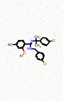 CCOc1cc(C#N)ccc1/C(=N/C(C)(C)C1C=CC(Cl)=CC1)NCc1ccc(Cl)cc1